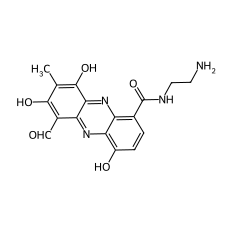 Cc1c(O)c(C=O)c2nc3c(O)ccc(C(=O)NCCN)c3nc2c1O